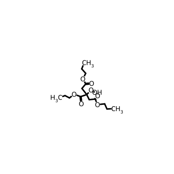 CCCOC(=O)CC(CC(=O)OCCC)(OO)C(=O)OCCC